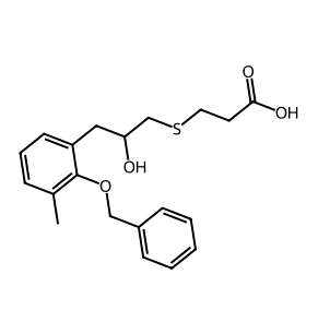 Cc1cccc(CC(O)CSCCC(=O)O)c1OCc1ccccc1